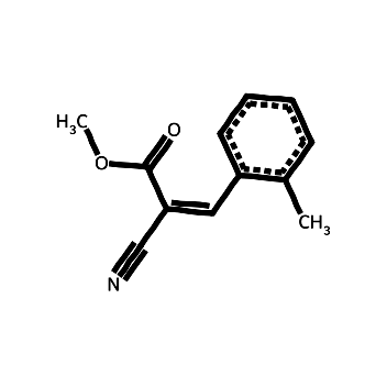 COC(=O)C(C#N)=Cc1ccccc1C